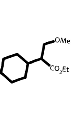 CCOC(=O)C(COC)C1CCCCC1